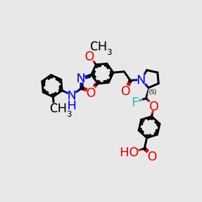 COc1cc(CC(=O)N2CCC[C@H]2C(F)Oc2ccc(C(=O)O)cc2)cc2oc(Nc3ccccc3C)nc12